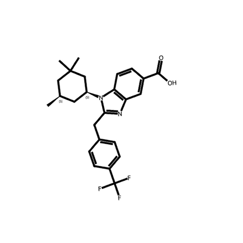 C[C@@H]1C[C@H](n2c(Cc3ccc(C(F)(F)F)cc3)nc3cc(C(=O)O)ccc32)CC(C)(C)C1